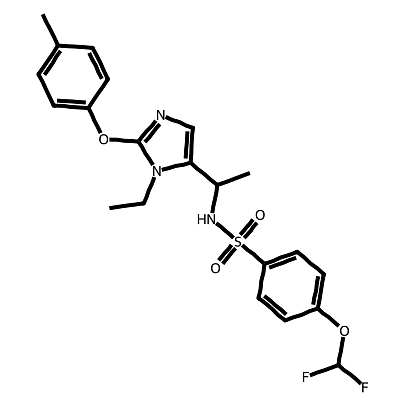 CCn1c(C(C)NS(=O)(=O)c2ccc(OC(F)F)cc2)cnc1Oc1ccc(C)cc1